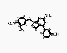 N#Cc1ccnc(-c2nc(N)nc3c2cnn3Cc2ccc([N+](=O)[O-])c(C(F)(F)F)c2)c1